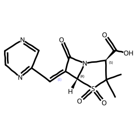 CC1(C)[C@H](C(=O)O)N2C(=O)/C(=C\c3cnccn3)[C@H]2S1(=O)=O